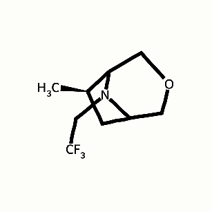 C[C@@H]1CC2COCC1N2CC(F)(F)F